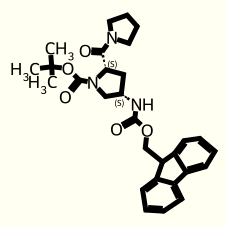 CC(C)(C)OC(=O)N1C[C@@H](NC(=O)OCC2c3ccccc3-c3ccccc32)C[C@H]1C(=O)N1CCCC1